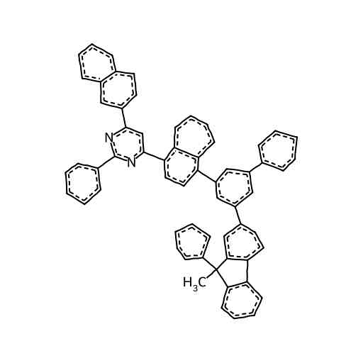 CC1(c2ccccc2)c2ccccc2-c2ccc(-c3cc(-c4ccccc4)cc(-c4ccc(-c5cc(-c6ccc7ccccc7c6)nc(-c6ccccc6)n5)c5ccccc45)c3)cc21